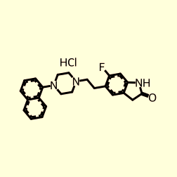 Cl.O=C1Cc2cc(CCN3CCN(c4cccc5ccccc45)CC3)c(F)cc2N1